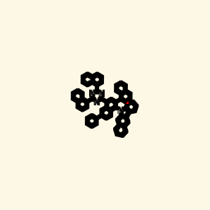 c1ccc(-c2ccc3c(-n4c5ccccc5c5cc6ccccc6cc54)c(-c4cccc5ccccc45)cc(-c4nc(-c5cccc6ccccc56)nc(-c5cccc6ccccc56)n4)c3c2)cc1